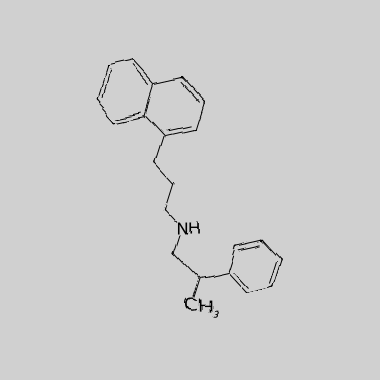 CC(CNCCCc1cccc2ccccc12)c1ccccc1